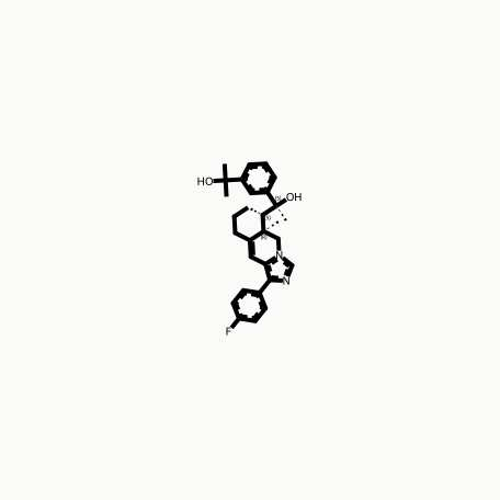 CC(C)(O)c1cccc([C@@](C)(O)[C@H]2CCCC3=Cc4c(-c5ccc(F)cc5)ncn4C[C@@]32C)c1